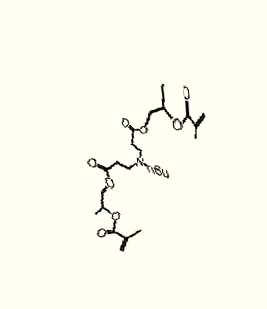 C=C(C)C(=O)OC(C)COC(=O)CCN(CCCC)CCC(=O)OCC(C)OC(=O)C(=C)C